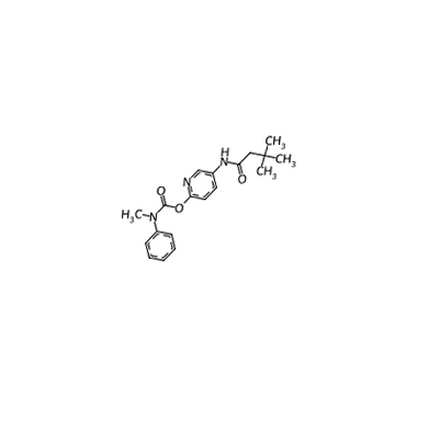 CN(C(=O)Oc1ccc(NC(=O)CC(C)(C)C)cn1)c1ccccc1